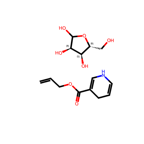 C=CCOC(=O)C1=CNC=CC1.OC[C@H]1OC(O)[C@H](O)[C@@H]1O